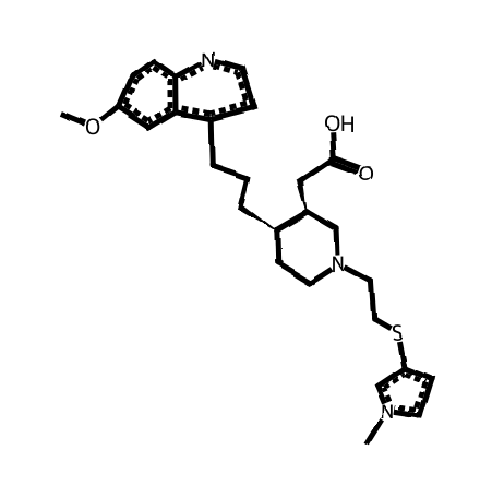 COc1ccc2nccc(CCC[C@@H]3CCN(CCSc4ccn(C)c4)C[C@@H]3CC(=O)O)c2c1